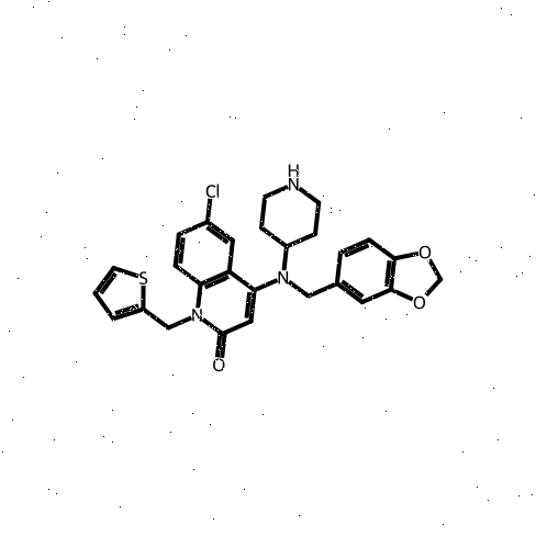 O=c1cc(N(Cc2ccc3c(c2)OCO3)C2CCNCC2)c2cc(Cl)ccc2n1Cc1cccs1